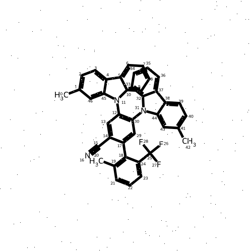 Cc1ccc2c3ccccc3n(-c3cc(C#N)c(-c4c(C)cccc4C(F)(F)F)cc3-n3c4ccccc4c4ccc(C)cc43)c2c1